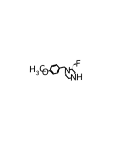 COc1ccc(CN2CCNC[C@H]2CF)cc1